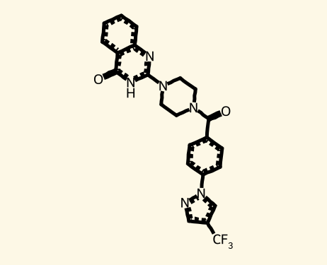 O=C(c1ccc(-n2cc(C(F)(F)F)cn2)cc1)N1CCN(c2nc3ccccc3c(=O)[nH]2)CC1